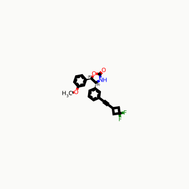 COc1cccc([C@H]2OC(=O)N[C@@H]2c2cccc(C#CC3CC(F)(F)C3)c2)c1